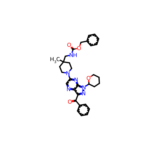 CC1(CNC(=O)OCc2ccccc2)CCN(c2cnc3c(C(=O)c4ccccc4)nn(C4CCCCO4)c3n2)CC1